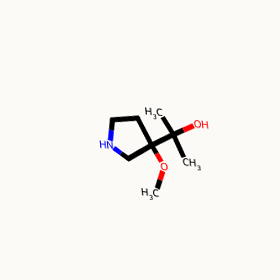 COC1(C(C)(C)O)CCNC1